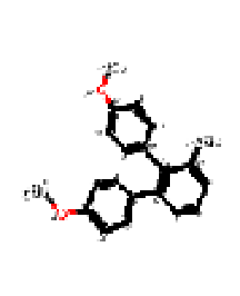 CC(C)(C)Oc1ccc(-c2[c]ccc(C(C)(C)C)c2-c2ccc(OC(C)(C)C)cc2)cc1